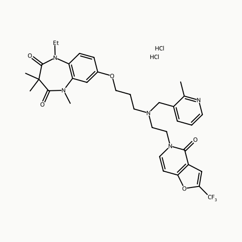 CCN1C(=O)C(C)(C)C(=O)N(C)c2cc(OCCCN(CCn3ccc4oc(C(F)(F)F)cc4c3=O)Cc3cccnc3C)ccc21.Cl.Cl